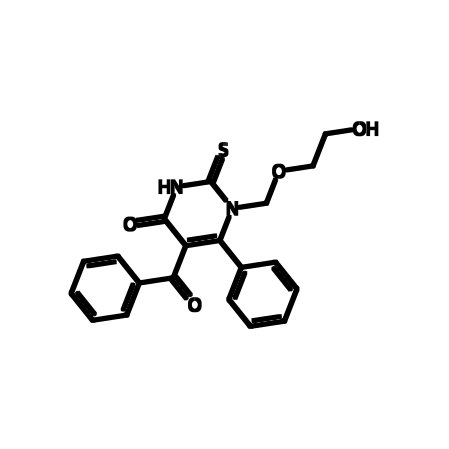 O=C(c1ccccc1)c1c(-c2ccccc2)n(COCCO)c(=S)[nH]c1=O